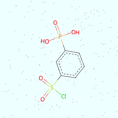 O=P(O)(O)c1cccc(S(=O)(=O)Cl)c1